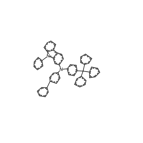 c1ccc(-c2ccc(N(c3ccc(C(c4ccccc4)(c4ccccc4)c4ccccc4)cc3)c3ccc4c5ccccc5n(-c5ccccc5)c4c3)cc2)cc1